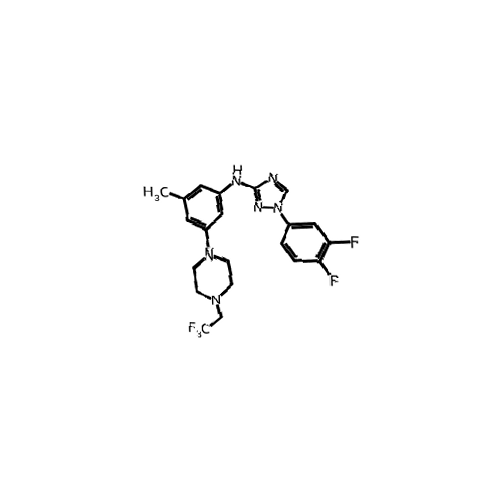 Cc1cc(Nc2ncn(-c3ccc(F)c(F)c3)n2)cc(N2CCN(CC(F)(F)F)CC2)c1